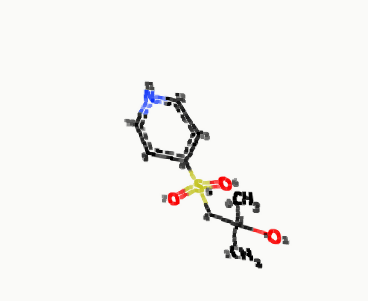 CC(C)([O])CS(=O)(=O)c1ccncc1